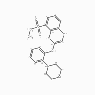 CNS(=O)(=O)c1cccc2c1OC(Nc1ccccc1N1CCNCC1)=CO2